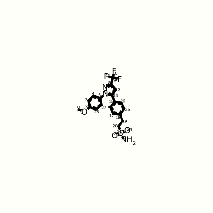 COc1ccc(-n2nc(C(F)(F)F)cc2-c2ccc(CCS(N)(=O)=O)cc2)cc1